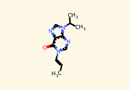 C/C=C/n1cnc2c(ncn2C(C)C)c1=O